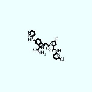 NC(=O)c1nn(CC(=O)N2C[C@H](F)C[C@H]2C(=O)Nc2cccc(Cl)n2)c2ccc(Nc3cccnn3)cc12